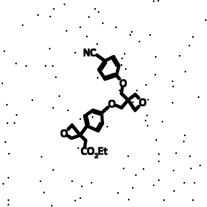 CCOC(=O)CC1(c2ccc(OCC3(COc4ccc(C#N)cc4)COC3)cc2)COC1